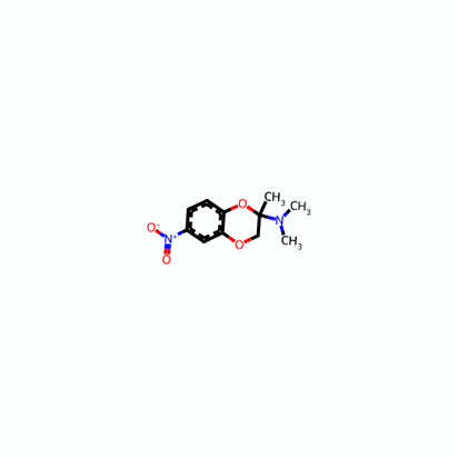 CN(C)C1(C)COc2cc([N+](=O)[O-])ccc2O1